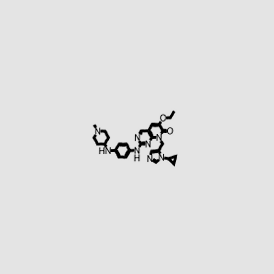 CCOc1cc2cnc(Nc3ccc(NC4CCN(C)CC4)cc3)nc2n(Cc2cncn2C2CC2)c1=O